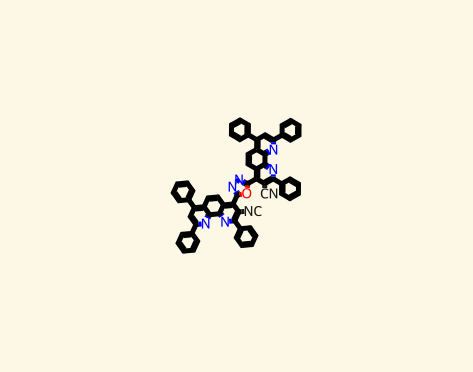 [C-]#[N+]c1c(-c2ccccc2)nc2c(ccc3c(-c4ccccc4)cc(-c4ccccc4)nc32)c1-c1nnc(-c2c(C#N)c(-c3ccccc3)nc3c2ccc2c(-c4ccccc4)cc(-c4ccccc4)nc23)o1